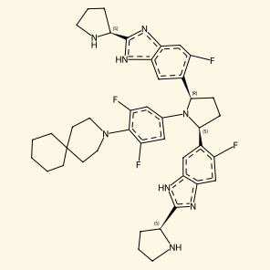 Fc1cc2nc([C@@H]3CCCN3)[nH]c2cc1[C@H]1CC[C@@H](c2cc3[nH]c([C@@H]4CCCN4)nc3cc2F)N1c1cc(F)c(N2CCC3(CCCCC3)CC2)c(F)c1